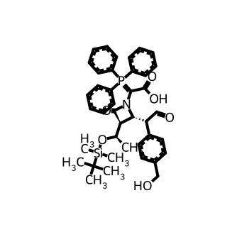 C[C@@H](O[Si](C)(C)C(C)(C)C)[C@H]1C(=O)N(C(C(=O)O)=P(c2ccccc2)(c2ccccc2)c2ccccc2)[C@@H]1C(C=O)c1ccc(CO)cc1